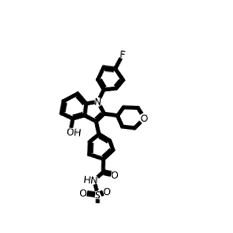 CS(=O)(=O)NC(=O)c1ccc(-c2c(C3CCOCC3)n(-c3ccc(F)cc3)c3cccc(O)c23)cc1